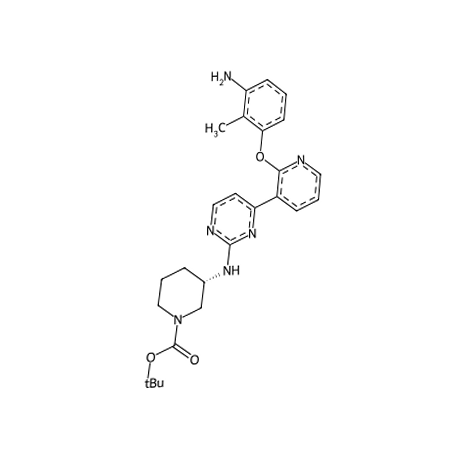 Cc1c(N)cccc1Oc1ncccc1-c1ccnc(N[C@H]2CCCN(C(=O)OC(C)(C)C)C2)n1